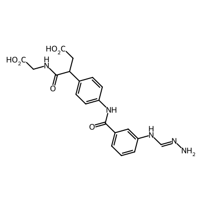 NN=CNc1cccc(C(=O)Nc2ccc(C(CC(=O)O)C(=O)NCC(=O)O)cc2)c1